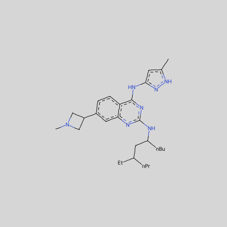 CCCCC(CC(CC)CCC)Nc1nc(Nc2cc(C)[nH]n2)c2ccc(C3CN(C)C3)cc2n1